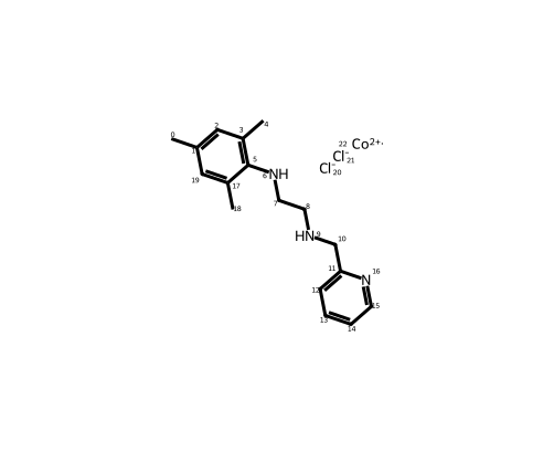 Cc1cc(C)c(NCCNCc2ccccn2)c(C)c1.[Cl-].[Cl-].[Co+2]